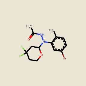 CC(=O)NN(c1cc(Br)ccc1C)C1CC(F)(F)CCO1